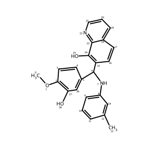 COc1ccc(C(Nc2cccc(C)c2)c2ccc3cccnc3c2O)cc1O